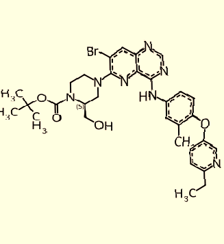 CCc1ccc(Oc2ccc(Nc3ncnc4cc(Br)c(N5CCN(C(=O)OC(C)(C)C)[C@H](CO)C5)nc34)cc2C)cn1